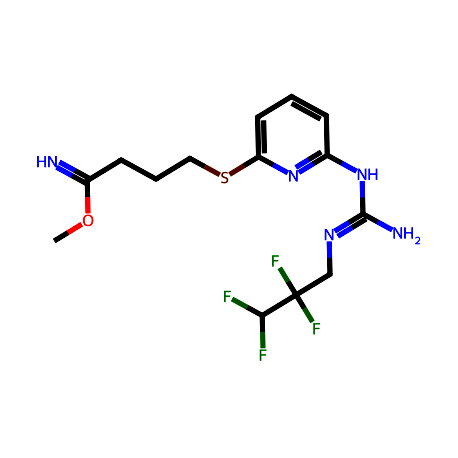 COC(=N)CCCSc1cccc(NC(N)=NCC(F)(F)C(F)F)n1